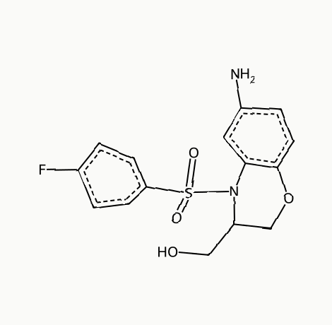 Nc1ccc2c(c1)N(S(=O)(=O)c1ccc(F)cc1)C(CO)CO2